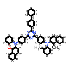 CC1=C(N(c2ccc(-c3nc(-c4ccc(-c5ccccc5)cc4)nc(-c4ccc(N5c6ccccc6Oc6c5ccc5ccccc65)cc4)n3)cc2)c2ccc3c(c2C)CCC=C3)C=CCC1